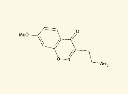 COc1ccc2c(=O)c(CCN)noc2c1